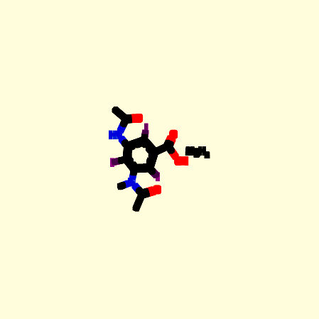 CC(=O)Nc1c(I)c(C(=O)O)c(I)c(N(C)C(C)=O)c1I.[MgH2]